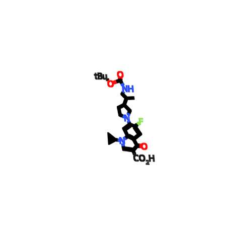 CC(CNC(=O)OC(C)(C)C)C1CCN(c2cc3c(cc2F)c(=O)c(C(=O)O)cn3C2CC2)C1